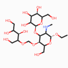 CCO[C@@H]1OC(CO)[C@@H](OCOC(CO)[C@H](O)C(O)CO)C(O[C@@H]2OC(CO)[C@H](O)C(O)C2O)C1NC